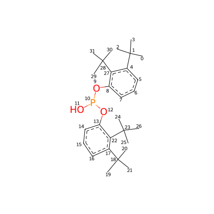 CC(C)(C)c1cccc(OP(O)Oc2cccc(C(C)(C)C)c2C(C)(C)C)c1C(C)(C)C